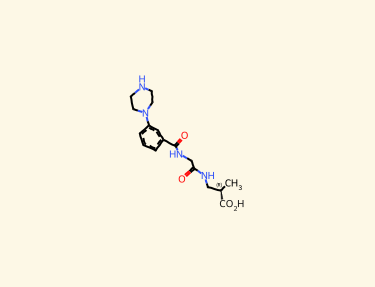 C[C@H](CNC(=O)CNC(=O)c1cccc(N2CCNCC2)c1)C(=O)O